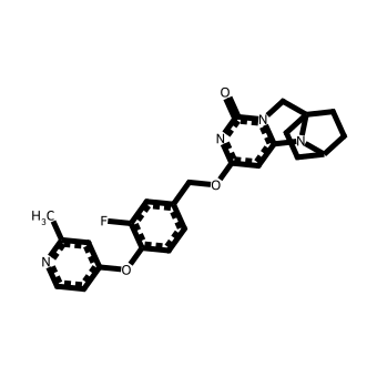 Cc1cc(Oc2ccc(COc3cc4n(c(=O)n3)CC35CCC(CC3)N45)cc2F)ccn1